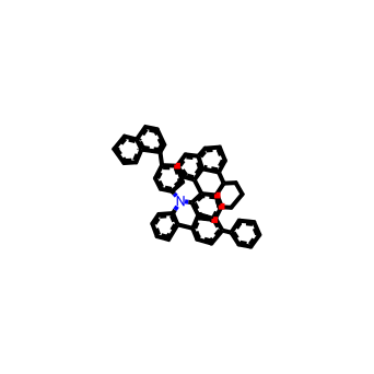 c1ccc(-c2ccc(-c3ccccc3N(c3ccc(-c4cccc5ccccc45)cc3)c3ccccc3-c3cccc4cccc(C5CCCCC5)c34)cc2)cc1